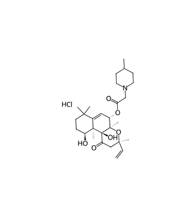 C=C[C@@]1(C)CC(=O)[C@@]2(O)[C@](C)(O1)[C@@H](OC(=O)CN1CCC(C)CC1)C=C1C(C)(C)CC[C@H](O)[C@@]12C.Cl